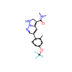 Cc1cc(OC(F)(F)F)ccc1C1=CC2=C(C(=O)N(C)C)CNN2N=C1